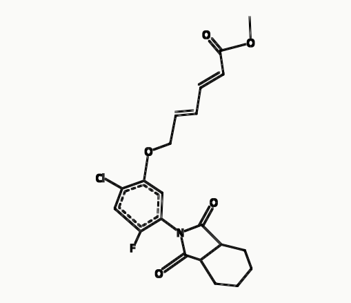 COC(=O)C=CC=CCOc1cc(N2C(=O)C3CCCCC3C2=O)c(F)cc1Cl